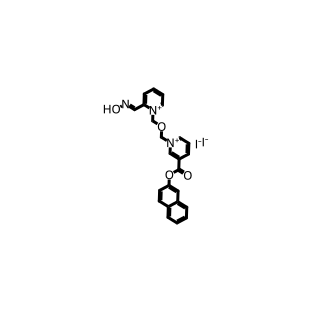 O=C(Oc1ccc2ccccc2c1)c1ccc[n+](COC[n+]2ccccc2C=NO)c1.[I-].[I-]